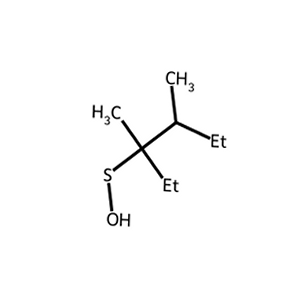 CCC(C)C(C)(CC)SO